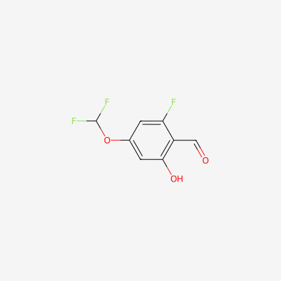 O=Cc1c(O)cc(OC(F)F)cc1F